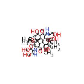 COc1c2c3c4c(c(NC(CO)C(=O)O)c(=O)c5c(O)cc(OC)c(c6c(OC)cc(NC(CO)C(=O)O)c(c1=O)c63)c54)C=C(C)C2C(C)=O